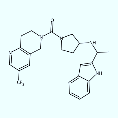 CC(NC1CCN(C(=O)N2CCc3ncc(C(F)(F)F)cc3C2)C1)c1cc2ccccc2[nH]1